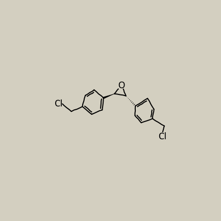 ClCc1ccc([C@H]2O[C@@H]2c2ccc(CCl)cc2)cc1